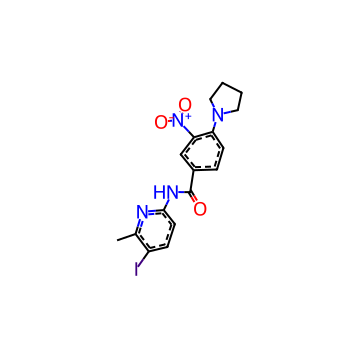 Cc1nc(NC(=O)c2ccc(N3CCCC3)c([N+](=O)[O-])c2)ccc1I